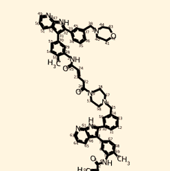 C=CC(=O)Nc1cc(-c2c(-c3cccc(CN4CCN(C(=O)C/C=C/C(=O)Nc5cc(-c6c(-c7cccc(CN8CCOCC8)c7)[nH]c7ncccc67)ccc5C)CC4)c3)[nH]c3ncccc23)ccc1C